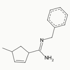 CC1C=CC(/C(N)=N/Cc2ccccc2)C1